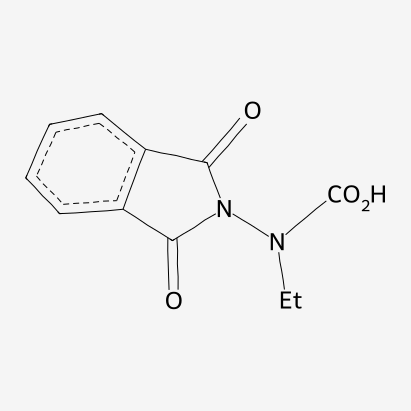 CCN(C(=O)O)N1C(=O)c2ccccc2C1=O